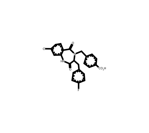 O=C(O)c1ccc(CN2C(=O)c3ccc(Cl)cc3NC(=O)C2Cc2ccc(F)cc2)cc1